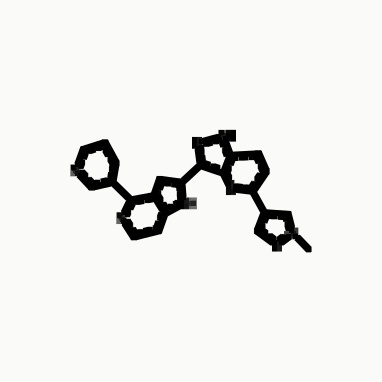 Cn1cc(-c2ccc3[nH]nc(-c4cc5c(-c6cccnc6)nccc5[nH]4)c3n2)cn1